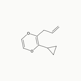 C=CCC1=C(C2CC2)OC=CO1